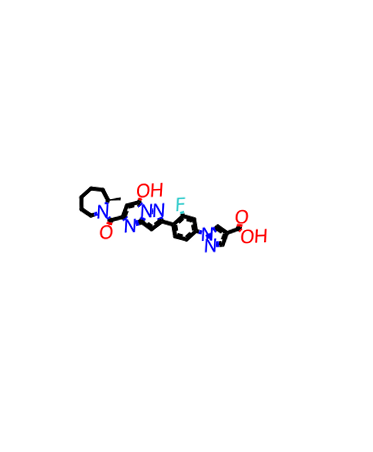 C[C@@H]1CCCCCN1C(=O)c1cc(O)n2nc(-c3ccc(-n4cc(C(=O)O)cn4)cc3F)cc2n1